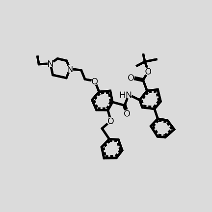 CCN1CCN(CCOc2ccc(OCc3ccccc3)c(C(=O)Nc3cc(-c4ccccc4)ccc3C(=O)OC(C)(C)C)c2)CC1